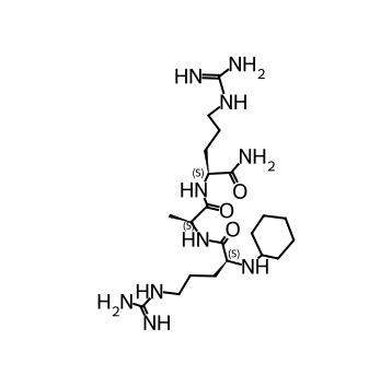 C[C@H](NC(=O)[C@H](CCCNC(=N)N)NC1CCCCC1)C(=O)N[C@@H](CCCNC(=N)N)C(N)=O